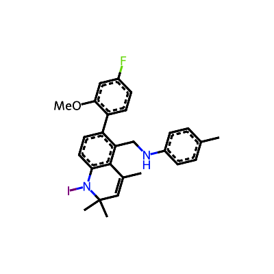 COc1cc(F)ccc1-c1ccc2c(c1CNc1ccc(C)cc1)C(C)=CC(C)(C)N2I